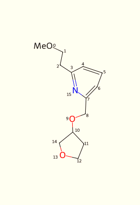 COCCc1cccc(COC2CCOC2)n1